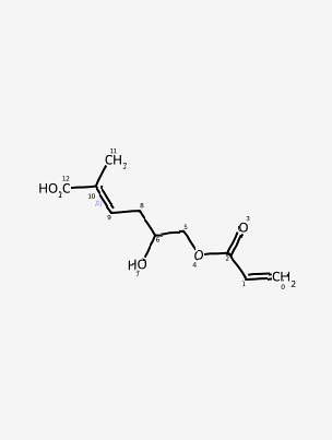 C=CC(=O)OCC(O)C/C=C(\C)C(=O)O